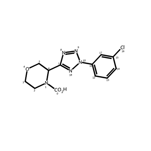 O=C(O)N1CCOCC1c1nnn(-c2cccc(Cl)c2)n1